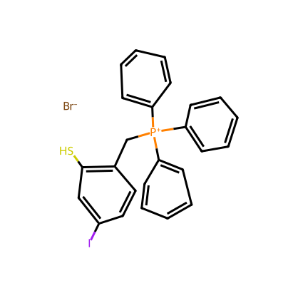 Sc1cc(I)ccc1C[P+](c1ccccc1)(c1ccccc1)c1ccccc1.[Br-]